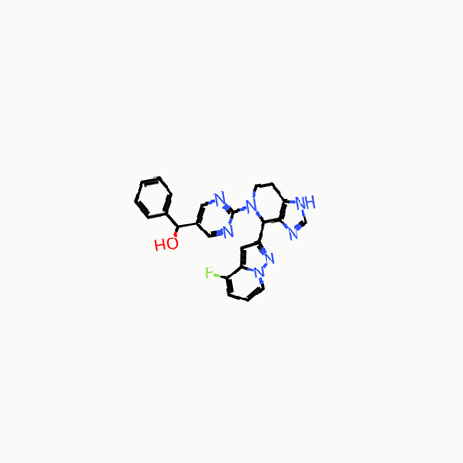 OC(c1ccccc1)c1cnc(N2CCc3[nH]cnc3C2c2cc3c(F)cccn3n2)nc1